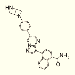 NC(=O)c1ccc(-c2cnn3cc(-c4ccc(N5CC6NCC65)cc4)cnc23)c2ccccc12